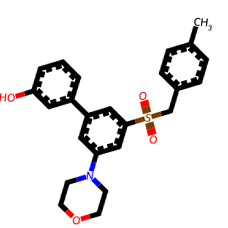 Cc1ccc(CS(=O)(=O)c2cc(-c3cccc(O)c3)cc(N3CCOCC3)c2)cc1